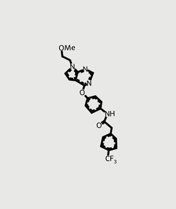 COCCn1ccc2c(Oc3ccc(NC(=O)Cc4ccc(C(F)(F)F)cc4)cc3)ncnc21